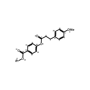 COc1ccc(CCC(=O)Oc2ccc(C(=O)OC(C)C)cc2)cc1